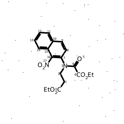 CCOC(=O)CCN(C(=O)C(=O)OCC)c1ccc2ccccc2c1[N+](=O)[O-]